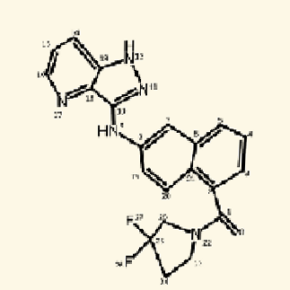 C=C(c1cccc2cc(Nc3n[nH]c4cccnc34)ccc12)N1CCC(F)(F)C1